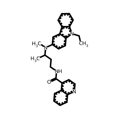 CCn1c2ccccc2c2cc(N(C)C(C)CCNC(=O)c3ccnc4ccccc34)ccc21